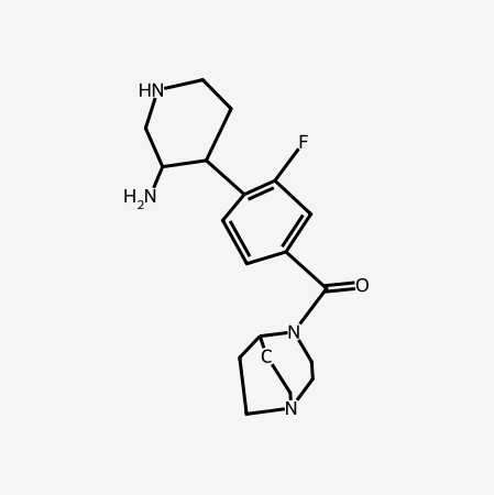 NC1CNCCC1c1ccc(C(=O)N2CCN3CCC2CC3)cc1F